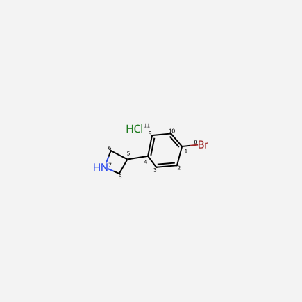 Brc1ccc(C2CNC2)cc1.Cl